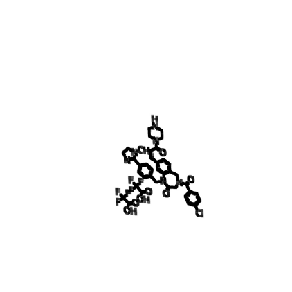 CN1CCN=C1c1ccc(CN2C(=O)CN(C(=O)c3ccc(Cl)cc3)Cc3ccc(CCC(=O)N4CCNCC4)cc32)cc1.O=C(O)C(F)(F)F.O=C(O)C(F)(F)F